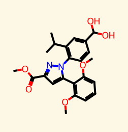 COC(=O)c1cc(-c2c(OC)cccc2OC)n(-c2ccc(C(O)O)cc2C(C)C)n1